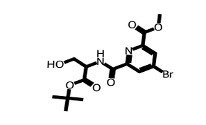 COC(=O)c1cc(Br)cc(C(=O)NC(CO)C(=O)OC(C)(C)C)n1